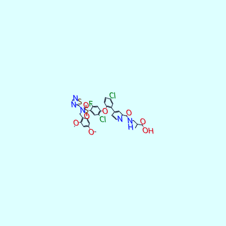 COc1ccc(CN(c2ncns2)S(=O)(=O)c2cc(Cl)c(Oc3ccc(Cl)cc3-c3ccnc(C(=O)NCC(C)C(=O)O)c3)cc2F)c(OC)c1